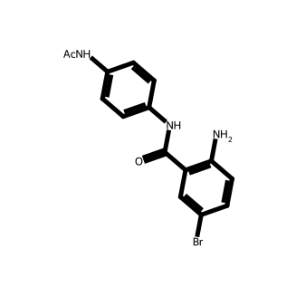 CC(=O)Nc1ccc(NC(=O)c2cc(Br)ccc2N)cc1